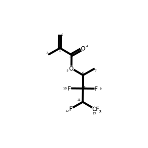 C=C(C)C(=O)OC(C)C(F)(F)C(F)C(F)(F)F